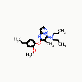 CCCN(CCC)c1c(C)c(Oc2ccc(CC)cc2OC)nc2ccnn12